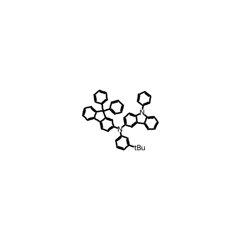 CC(C)(C)c1cccc(N(c2ccc3c(c2)C(c2ccccc2)(c2ccccc2)c2ccccc2-3)c2ccc3c(c2)c2ccccc2n3-c2ccccc2)c1